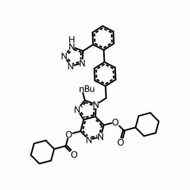 CCCCc1nc2c(OC(=O)C3CCCCC3)nnc(OC(=O)C3CCCCC3)c2n1Cc1ccc(-c2ccccc2-c2nnn[nH]2)cc1